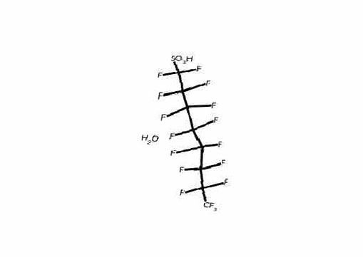 O.O=S(=O)(O)C(F)(F)C(F)(F)C(F)(F)C(F)(F)C(F)(F)C(F)(F)C(F)(F)C(F)(F)F